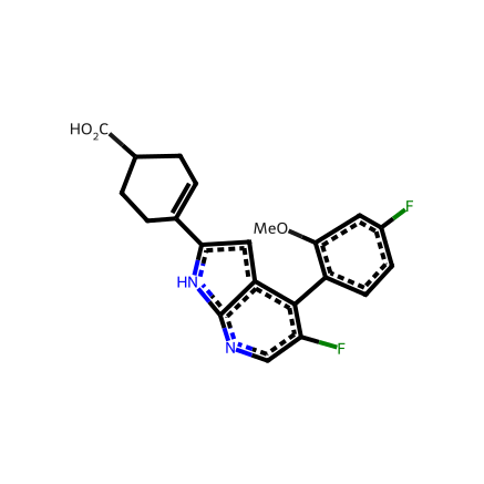 COc1cc(F)ccc1-c1c(F)cnc2[nH]c(C3=CCC(C(=O)O)CC3)cc12